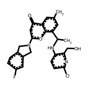 Cc1cc(C(C)Nc2ccc(Cl)nc2CO)c2oc(N3Cc4ccc(F)cc4C3)cc(=O)c2c1